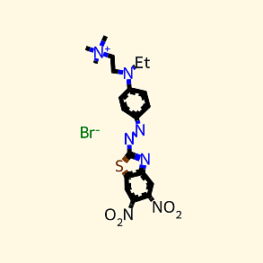 CCN(CC[N+](C)(C)C)c1ccc(N=Nc2nc3cc([N+](=O)[O-])c([N+](=O)[O-])cc3s2)cc1.[Br-]